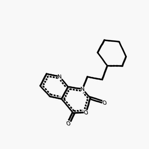 O=c1oc(=O)n(CCC2CCCCC2)c2ncccc12